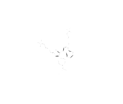 CN(C(=O)O)[C@H]1CCCN(c2ccnc3c2c(-c2ccn(COCC[Si](C)(C)C)n2)cn3COCC[Si](C)(C)C)C1